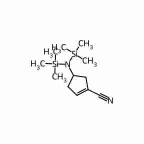 C[Si](C)(C)N(C1CC=C(C#N)C1)[Si](C)(C)C